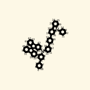 c1ccc(-c2ccc(N(c3cccc(-c4ccc(-c5ccc6c7ccccc7n(-c7ccccc7)c6c5)cc4)c3)c3ccc4c(c3)C3(c5ccccc5-c5ccccc53)c3ccccc3-4)cc2)cc1